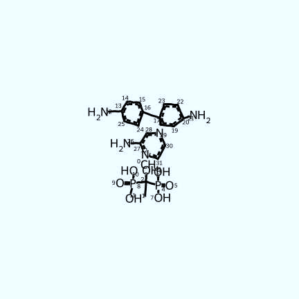 C.CC(O)(P(=O)(O)O)P(=O)(O)O.Nc1ccc(-c2ccc(N)cc2)cc1.Nc1cnccn1